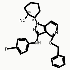 N#C[C@H]1CCCC[C@H]1n1nc(Nc2ccc(F)cc2)c2c(OCc3ccccc3)nccc21